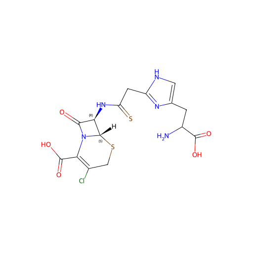 NC(Cc1c[nH]c(CC(=S)N[C@@H]2C(=O)N3C(C(=O)O)=C(Cl)CS[C@@H]23)n1)C(=O)O